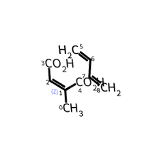 C/C(=C/C(=O)O)C(=O)O.C=CC=C